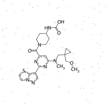 COCC1(CN(C)c2cc(C(=O)N3CCC(NC(=O)O)CC3)nc(-c3cnn4ccsc34)n2)CC1